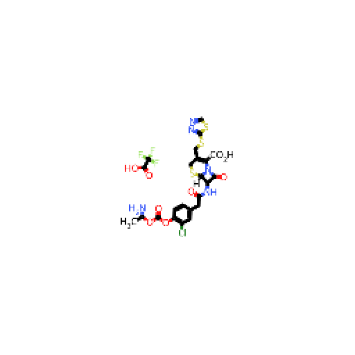 CC(N)OC(=O)Oc1ccc(CC(=O)NC2C(=O)N3C(C(=O)O)=C(CSc4nncs4)CS[C@@H]23)cc1Cl.O=C(O)C(F)(F)F